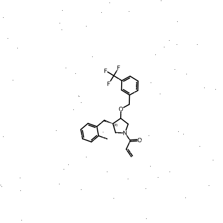 C=CC(=O)N1CC(OCc2cccc(C(F)(F)F)c2)[C@H](Cc2ccccc2C)C1